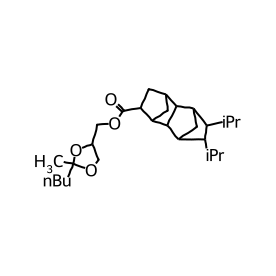 CCCCC1(C)OCC(COC(=O)C2CC3CC2C2C4CC(C(C(C)C)C4C(C)C)C32)O1